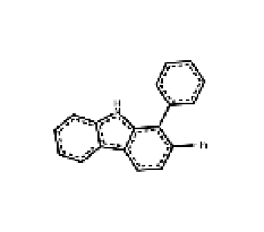 CCCc1ccc2c([nH]c3ccccc32)c1-c1ccccc1